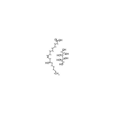 CCCCCC[C@@H](O)C/C=C\CCCCCCCC(=O)O.OC[C@@H](O)[C@@H](O)[C@H](O)[C@@H](O)CO